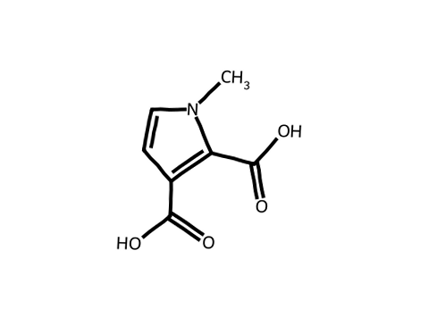 Cn1ccc(C(=O)O)c1C(=O)O